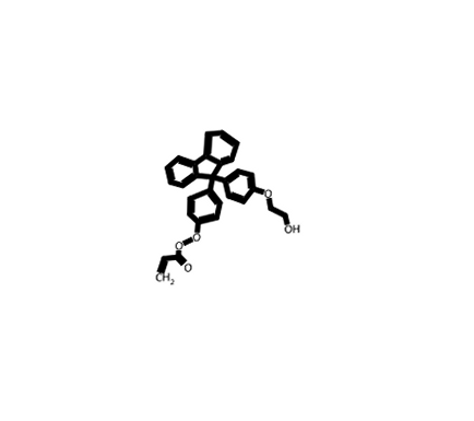 C=CC(=O)OOc1ccc(C2(c3ccc(OCCO)cc3)c3ccccc3-c3ccccc32)cc1